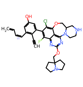 C#Cc1c(/C=C\C=C)cc(O)cc1-c1c(Cl)c2c3c(nc(OCC45CCCN4CCC5)nc3c1F)N1CCNCC1CO2